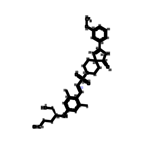 Cc1cc(N[C@@H](CO)CCC=O)cc(C)c1/C=C/S(=O)(=O)N1CCC2(CC1)N=C(c1cccc(OC(F)(F)F)c1)NC2=O